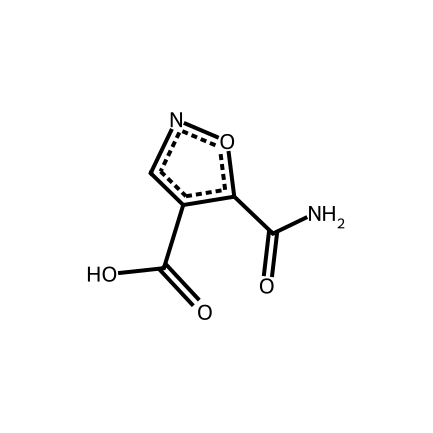 NC(=O)c1oncc1C(=O)O